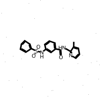 Cc1cccnc1NC(=O)c1cccc(NS(=O)(=O)c2ccccc2)c1